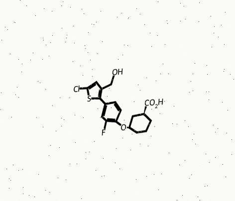 O=C(O)[C@H]1CCC[C@H](Oc2ccc(-c3sc(Cl)cc3CO)cc2F)C1